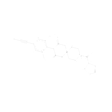 CC#Cc1cc(C)c(C2C(=O)CC3(CCN(C(=O)C4CCOC4)CC3)CC2=O)c(C)c1